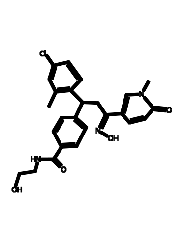 Cc1cc(Cl)ccc1C(CC(=NO)c1ccc(=O)n(C)c1)c1ccc(C(=O)NCCO)cc1